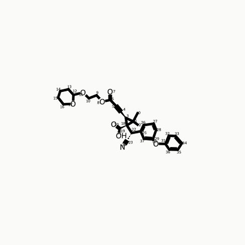 CC1(C)[C@H](C#CC(=O)OCCOC2CCCCO2)[C@@]1(C(=O)O)[C@@H](C#N)c1cccc(Oc2ccccc2)c1